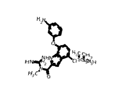 CN(C(=N)N)C(=O)c1cc2c(Cl)ccc(Oc3cccc(N)c3)c2[nH]1.CS(=O)(=O)O.CS(=O)(=O)O